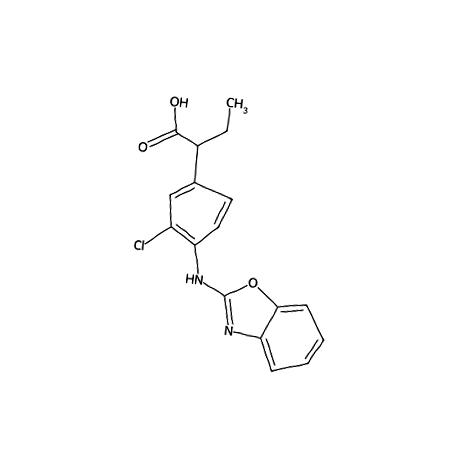 CCC(C(=O)O)c1ccc(Nc2nc3ccccc3o2)c(Cl)c1